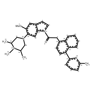 COc1cc2ccn(C(=O)Cc3ccc(-c4cccc(C)n4)c4ccccc34)c2cc1N1CC(C)N(C)C(C)C1